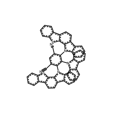 N#Cc1cc(C#N)c(-n2c3ccccc3c3ccc4c5ccccc5sc4c32)c(-n2c3ccccc3c3ccccc32)c1-n1c2ccccc2c2ccc3c4ccccc4sc3c21